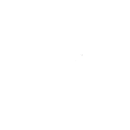 COc1cc(C)c(C=C2C(=O)Nc3ccc(Cl)c(C)c32)cc1C(C)C